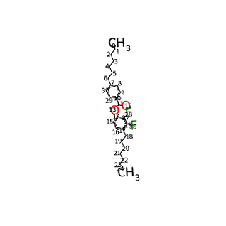 CCCCCCCc1ccc(C(=O)Oc2ccc(CCCCCCC)c(F)c2F)cc1